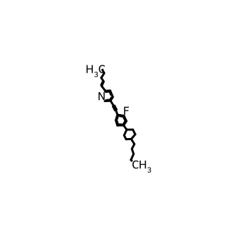 CCC/C=C/c1ccc(C#Cc2ccc(C3CCC(CCCCC)CC3)cc2F)cn1